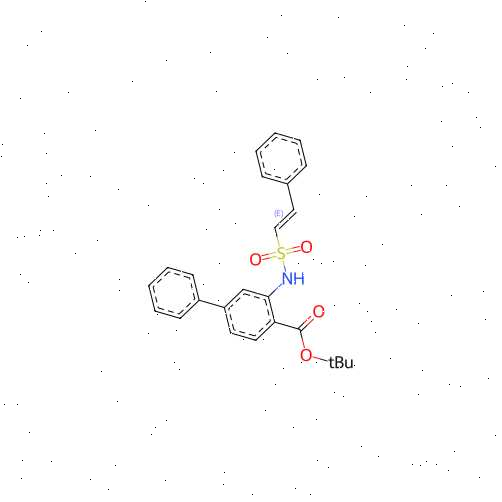 CC(C)(C)OC(=O)c1ccc(-c2ccccc2)cc1NS(=O)(=O)/C=C/c1ccccc1